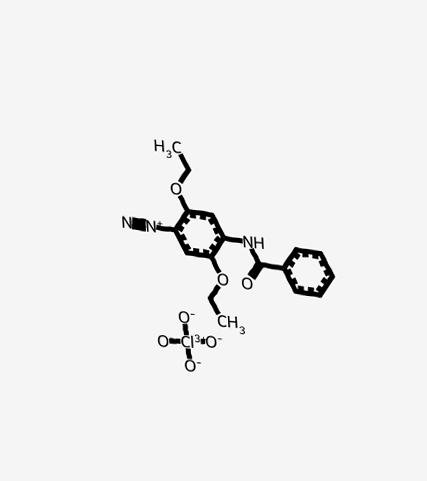 CCOc1cc(NC(=O)c2ccccc2)c(OCC)cc1[N+]#N.[O-][Cl+3]([O-])([O-])[O-]